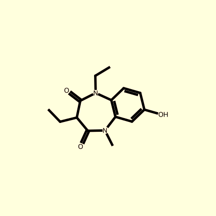 CCC1C(=O)N(C)c2cc(O)ccc2N(CC)C1=O